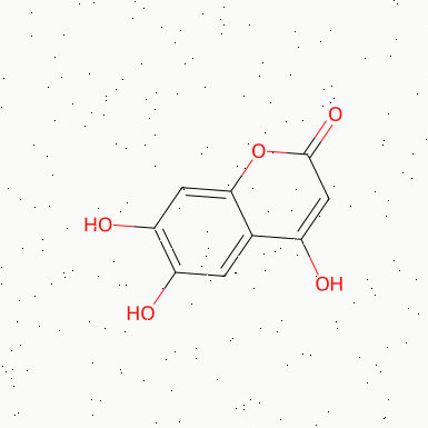 O=c1cc(O)c2cc(O)c(O)cc2o1